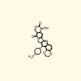 CN1CCN(c2c3c(nc4ccc5c(c24)OCCO5)-c2cc4c(c(=O)n2C3)COC(=O)C4O)CC1